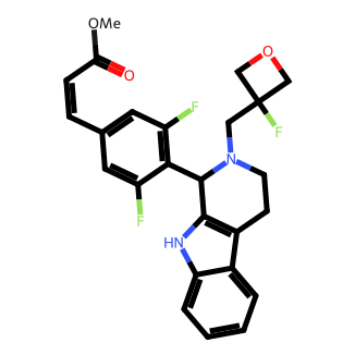 COC(=O)/C=C\c1cc(F)c(C2c3[nH]c4ccccc4c3CCN2CC2(F)COC2)c(F)c1